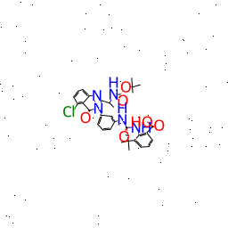 CC(NC(=O)OC(C)(C)C)c1nc2cccc(Cl)c2c(=O)n1-c1cccc(NC(=O)Nc2c(C(=O)O)cccc2C(C)(C)C)c1